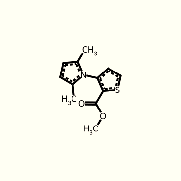 COC(=O)c1sccc1-n1c(C)ccc1C